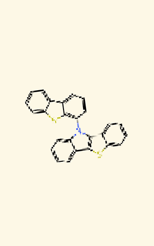 c1ccc2c(c1)sc1c(-n3c4ccccc4c4sc5ccccc5c43)cccc12